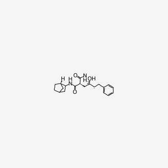 NC(=O)[C@@H](C[C@@H](O)[CH]Cc1ccccc1)C(=O)NC1CC2CC[C@H]1C2